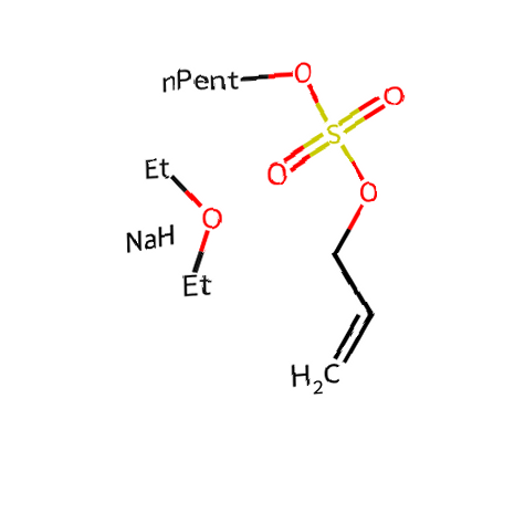 C=CCOS(=O)(=O)OCCCCC.CCOCC.[NaH]